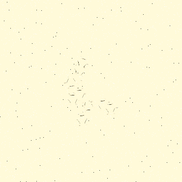 CC1(C)c2cc3ccccc3cc2-c2cccc(-c3ccc(-c4nc(-c5ccccc5)cc(-c5ccc6ccccc6c5)n4)c4ccccc34)c21